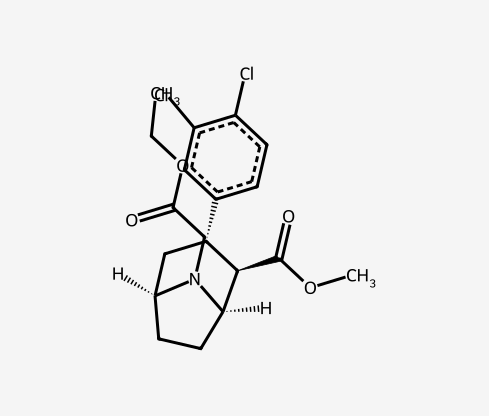 CCOC(=O)CN1[C@H]2CC[C@@H]1[C@H](C(=O)OC)[C@@H](c1ccc(Cl)c(Cl)c1)C2